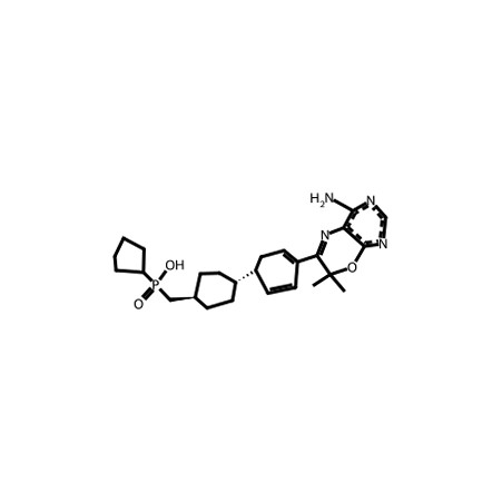 CC1(C)Oc2ncnc(N)c2N=C1C1=CCC([C@H]2CC[C@H](CP(=O)(O)C3CCCC3)CC2)C=C1